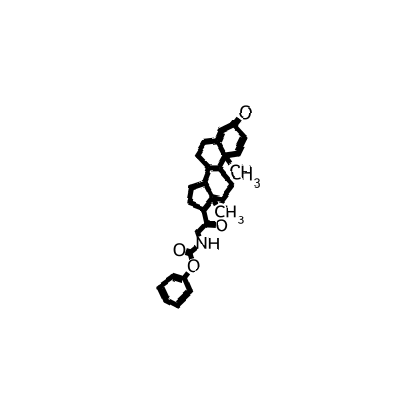 CC12C=CC(=O)C=C1CCC1C2CCC2(C)C(C(=O)CNC(=O)Oc3ccccc3)CCC12